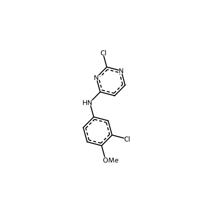 COc1ccc(Nc2ccnc(Cl)n2)cc1Cl